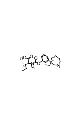 CC[C@H](C)C(NC(=O)Oc1cccc(C2(CC)CCCCN(C)C2)c1)C(=O)O